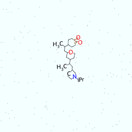 CC(CC1CC(C(C)CC2CCCN(C(C)C)C2)CCO1)C1CCS(=O)(=O)CC1